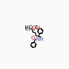 CCC(O)CCCC(C)(NC(=O)c1ccccc1)c1cccc(C(=O)O)c1